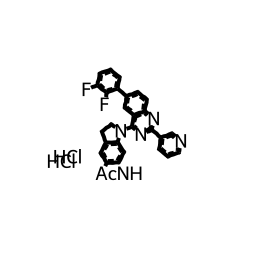 CC(=O)Nc1ccc2c(c1)CCN2c1nc(-c2cccnc2)nc2ccc(-c3cccc(F)c3F)cc12.Cl.Cl